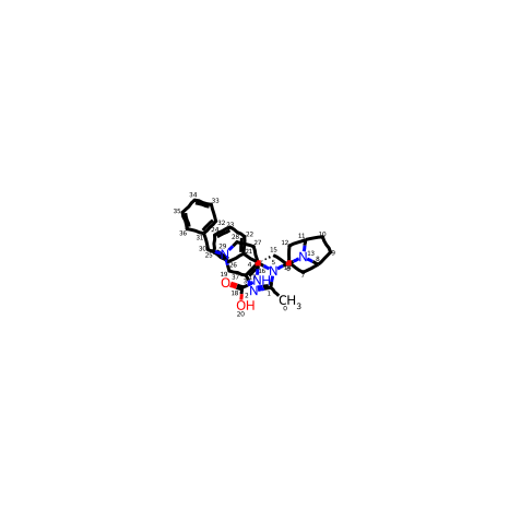 Cc1nc2c(n1C1CC3CCC(C1)N3CC[C@H](NC(=O)O)c1ccccc1)CCN(Cc1ccccc1)C2